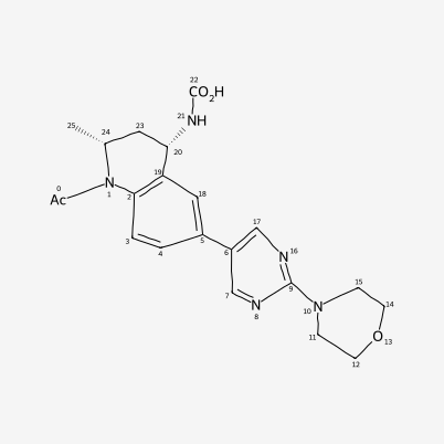 CC(=O)N1c2ccc(-c3cnc(N4CCOCC4)nc3)cc2[C@@H](NC(=O)O)C[C@H]1C